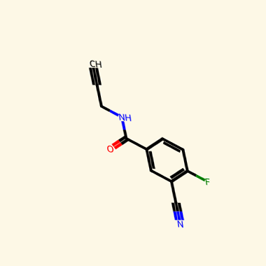 C#CCNC(=O)c1ccc(F)c(C#N)c1